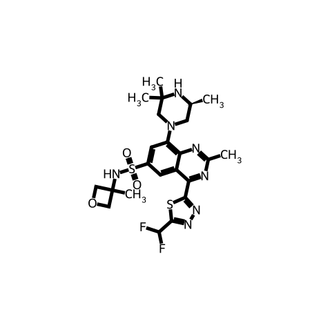 Cc1nc(-c2nnc(C(F)F)s2)c2cc(S(=O)(=O)NC3(C)COC3)cc(N3C[C@H](C)NC(C)(C)C3)c2n1